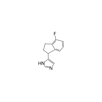 Fc1cccc2c1CCC2c1cnc[nH]1